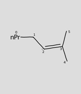 CCCC[C]=C(C)C